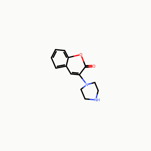 O=c1oc2ccccc2cc1N1CCNCC1